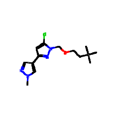 Cn1cc(-c2cc(Cl)n(COCC[Si](C)(C)C)n2)cn1